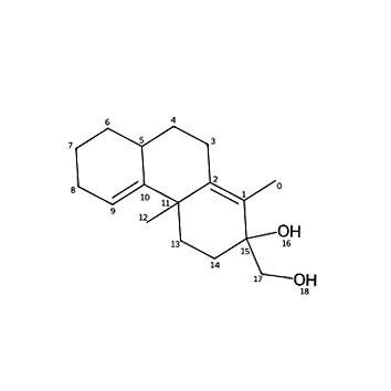 CC1=C2CCC3CCCC=C3C2(C)CCC1(O)CO